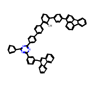 N#Cc1c(-c2ccc(-c3ccc(-c4nc(-c5ccccc5)nc(-c5cccc(-c6cc7ccccc7c7ccccc67)c5)n4)cc3)cc2)cccc1-c1ccc(-c2ccc3c4c(cccc24)-c2ccccc2-3)cc1